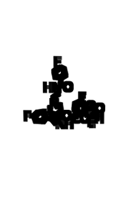 O=C(NCCN1CCC2(CC1)C(=O)NCC2c1ccc(F)cc1)c1ccc(F)cc1.O=C(O)C(F)(F)F.O=C(O)c1ccc(F)cc1